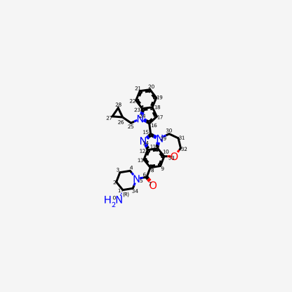 N[C@@H]1CCCN(C(=O)c2cc3c4c(c2)nc(-c2cc5ccccc5n2CC2CC2)n4CCCO3)C1